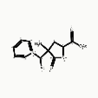 CC(=O)OC(=O)C1CC(N)(C(C(C)=O)[n+]2ccccc2)C(=O)N1